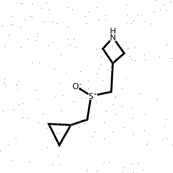 [O-][S+](CC1CC1)CC1CNC1